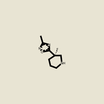 Cc1noc([C@]2(F)CCCNC2)n1